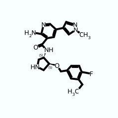 CCc1cc(CO[C@H]2CNC[C@@H]2NC(=O)c2cc(-c3cnn(C)c3)cnc2N)ccc1F